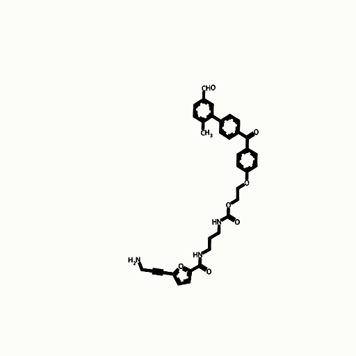 Cc1ccc(C=O)cc1-c1ccc(C(=O)c2ccc(OCCOC(=O)NCCCNC(=O)c3ccc(C#CCN)o3)cc2)cc1